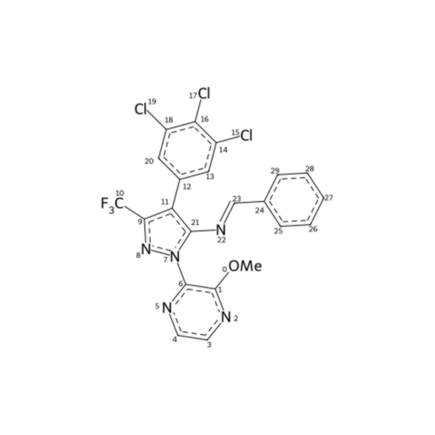 COc1nccnc1-n1nc(C(F)(F)F)c(-c2cc(Cl)c(Cl)c(Cl)c2)c1N=Cc1ccccc1